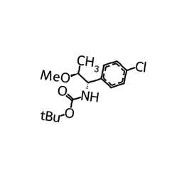 CO[C@@H](C)[C@@H](NC(=O)OC(C)(C)C)c1ccc(Cl)cc1